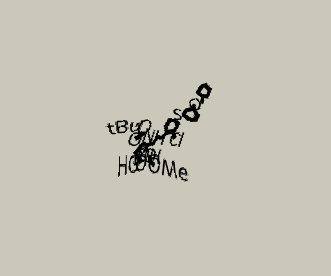 COCOCC(/C=C\P(=O)(O)O)(CCCc1ccc(Sc2cccc(OCc3ccccc3)c2)cc1Cl)NC(=O)OC(C)(C)C